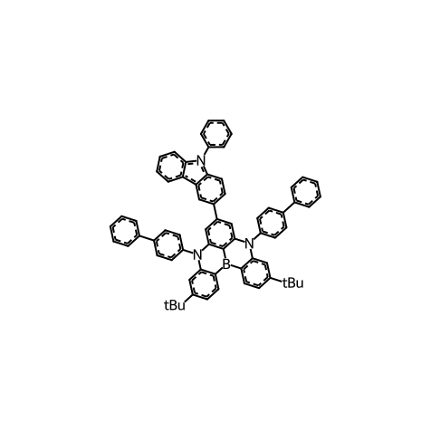 CC(C)(C)c1ccc2c(c1)N(c1ccc(-c3ccccc3)cc1)c1cc(-c3ccc4c(c3)c3ccccc3n4-c3ccccc3)cc3c1B2c1ccc(C(C)(C)C)cc1N3c1ccc(-c2ccccc2)cc1